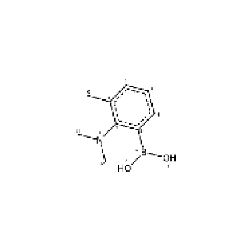 Cc1cccc(B(O)O)c1N(C)C